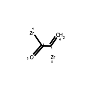 C=C[C](=O)[Zr].[Zr]